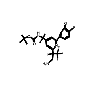 CC(C)(C)OC(=O)NC(C)(C)c1cc(-c2ccc(F)c(Cl)c2)nc(C(I)(CN)C(F)(F)F)c1